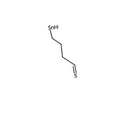 S=CCC[CH2][SnH]